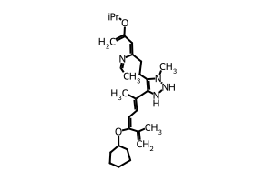 C=C(/C=C(CCC1=C(/C(C)=C/C=C(/OC2CCCCC2)C(=C)C)NNN1C)\N=C/C)OC(C)C